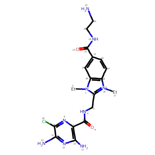 CCn1c(CNC(=O)c2nc(Cl)c(N)nc2N)[n+](CC)c2ccc(C(=O)NCCN)cc21